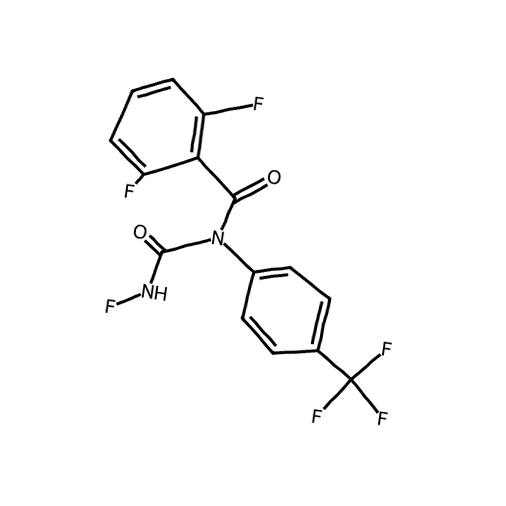 O=C(NF)N(C(=O)c1c(F)cccc1F)c1ccc(C(F)(F)F)cc1